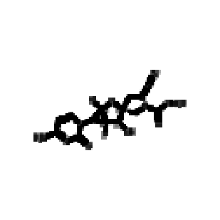 CCCCCCCC(=O)OC[C@@]1(CN=[N+]=[N-])O[C@H]2C(n3ccc(N)nc3=O)[C@@]2(F)[C@@H]1O